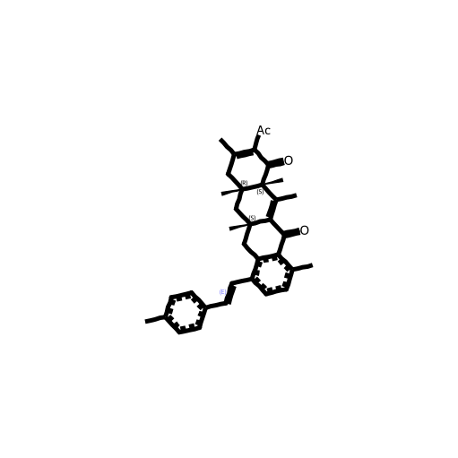 CC(=O)C1=C(C)C[C@@]2(C)C[C@@]3(C)Cc4c(/C=C/c5ccc(C)cc5)ccc(C)c4C(=O)C3=C(C)[C@@]2(C)C1=O